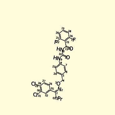 CCCC(=NOCc1ccc(NC(=O)NC(=O)c2c(F)cccc2F)cc1)c1ccc(Cl)c(Cl)c1